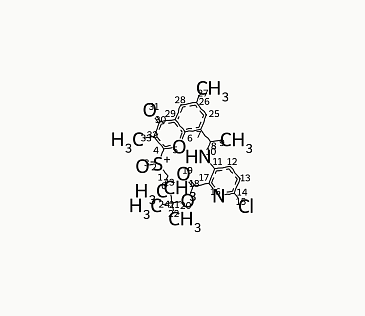 CC[S+]([O-])c1oc2c(C(C)Nc3ccc(Cl)nc3C(=O)OC(C)(C)C)cc(C)cc2c(=O)c1C